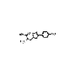 CCCC(=O)C(C)CC1CC(c2ccc(N=O)cc2)=NO1